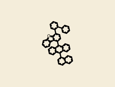 c1ccc(-c2ccccc2-c2ccc(-c3c4ccccc4c(-c4cccc5ccccc45)c4ccccc34)c3c2oc2ccccc23)cc1